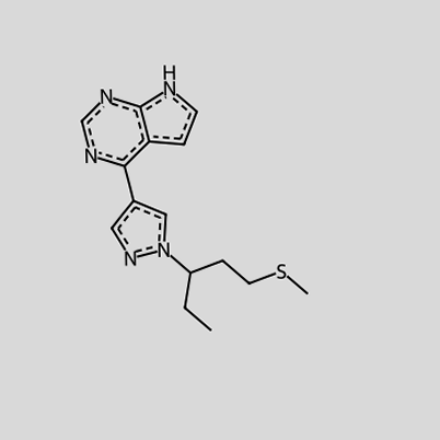 CCC(CCSC)n1cc(-c2ncnc3[nH]ccc23)cn1